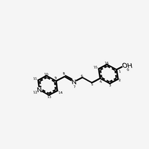 Oc1ccc(CCN=Cc2ccncc2)cc1